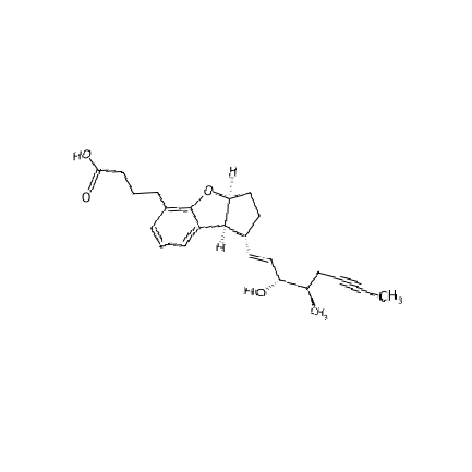 CC#CC[C@@H](C)[C@H](O)/C=C/[C@H]1CC[C@@H]2Oc3c(CCCC(=O)O)cccc3[C@@H]21